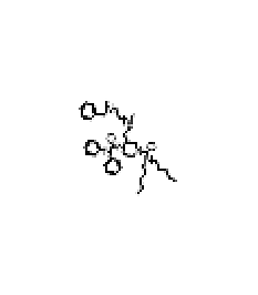 CCCCCN(CCCCC)C(=O)N1CCN(C(=O)N(c2ccccc2)c2ccccc2)C(CCN(C)CCN(C)Cc2ccccc2)C1